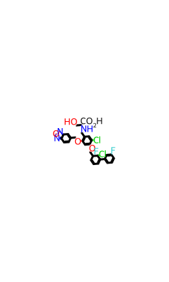 O=C(O)C(CO)NCc1cc(Cl)c(OCC2C=CC=C(c3cccc(F)c3)C2(F)Cl)cc1OCc1ccc2nonc2c1